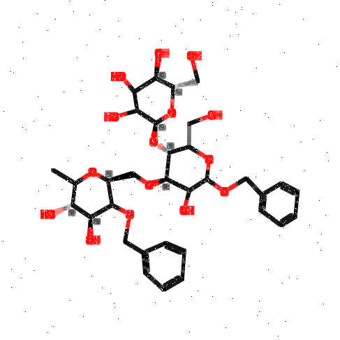 CC1O[C@@H](CO[C@@H]2C(O)C(OCc3ccccc3)OC(CO)[C@H]2O[C@@H]2O[C@@H](CO)[C@H](O)C(O)C2O)C(OCc2ccccc2)[C@@H](O)[C@@H]1O